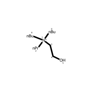 CCCC[N+](CCC)(CCO)CCCC